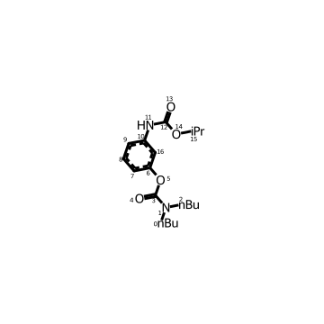 CCCCN(CCCC)C(=O)Oc1cccc(NC(=O)OC(C)C)c1